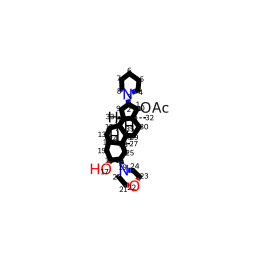 CC(=O)OC1C(N2CCCCC2)C[C@H]2[C@@H]3CCC4CC(O)C(N5CCOCC5)C[C@]4(C)[C@@H]3CC[C@]12C